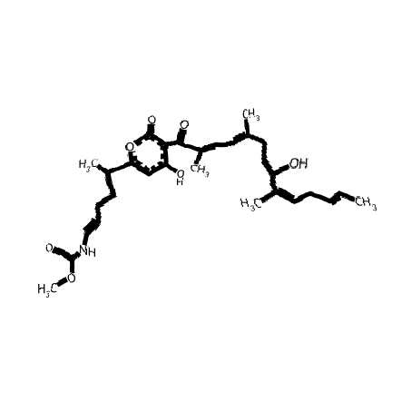 C/C=C/C/C=C(/C)C(O)CC/C(C)=C/C=C(\C)C(=O)c1c(O)cc(C(C)CC/C=C/NC(=O)OC)oc1=O